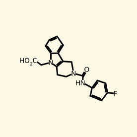 O=C(O)Cn1c2c(c3ccccc31)CN(C(=O)Nc1ccc(F)cc1)CC2